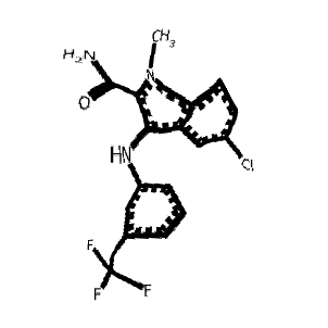 Cn1c(C(N)=O)c(Nc2cccc(C(F)(F)F)c2)c2cc(Cl)ccc21